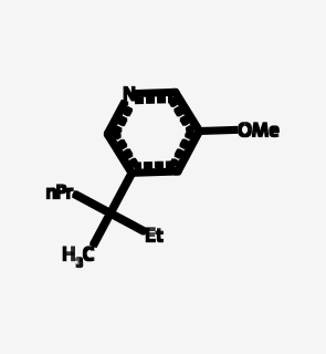 CCCC(C)(CC)c1cncc(OC)c1